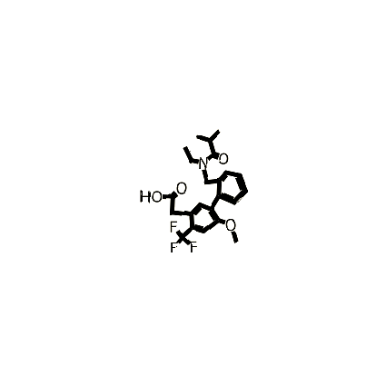 CCN(Cc1ccccc1-c1cc(CC(=O)O)c(C(F)(F)F)cc1OC)C(=O)C(C)C